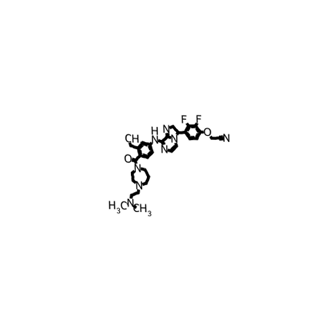 CCc1cc(NC2=NC=CN3C2=NCC3c2ccc(OCC#N)c(F)c2F)ccc1C(=O)N1CCCN(CCN(C)C)CC1